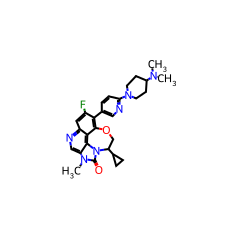 CN(C)C1CCN(c2ccc(-c3c(F)cc4ncc5c6c4c3OCC(C3CC3)n6c(=O)n5C)cn2)CC1